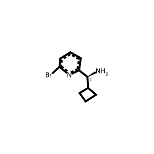 N[C@H](c1cccc(Br)n1)C1CCC1